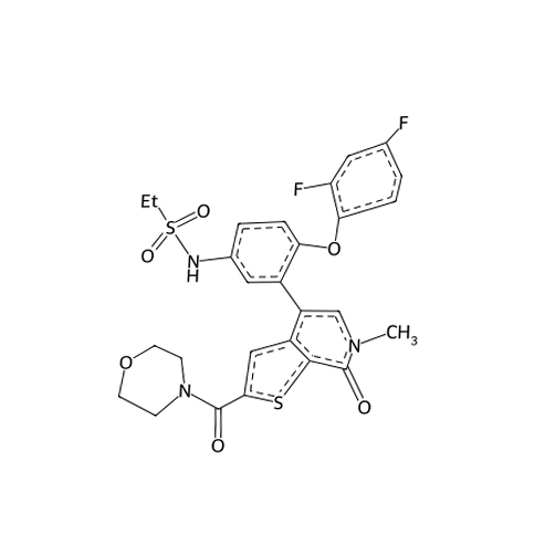 CCS(=O)(=O)Nc1ccc(Oc2ccc(F)cc2F)c(-c2cn(C)c(=O)c3sc(C(=O)N4CCOCC4)cc23)c1